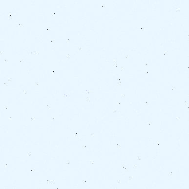 c1ccc2c(c1)Cc1nc(Cc3c[nH]cn3)sc1-2